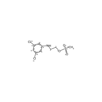 CS(=O)(=O)OCCNc1cc(Cl)cc(Cl)c1